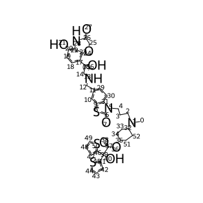 CN(CCCn1c(=O)sc2cc(CNC[C@H](O)c3ccc(O)c4c3OCC(=O)N4)ccc21)[C@H]1CC[C@H](OC(=O)C(O)(c2cccs2)c2cccs2)CC1